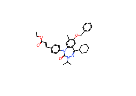 CCOC(=O)C=Cc1ccc(N2C(=O)N(C(C)C)N=C(C3CCCCC3)c3cc(OCc4ccccc4)c(C)cc32)cc1